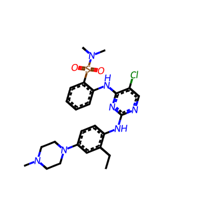 CCc1cc(N2CCN(C)CC2)ccc1Nc1ncc(Cl)c(Nc2ccccc2S(=O)(=O)N(C)C)n1